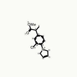 COC(=O)C(C)c1ccc(N2CC=CC2)c(Cl)c1